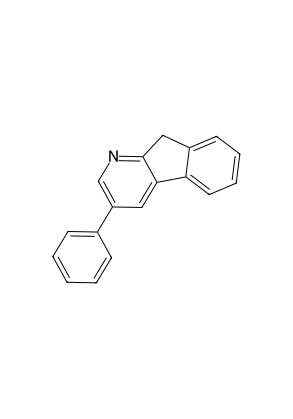 c1ccc(-c2cnc3c(c2)-c2ccccc2C3)cc1